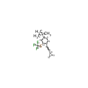 CC(C)(C)c1ccc(C#CC2CC2)c(SC(F)(F)F)c1